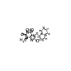 Cn1c(=O)c2c(nc(Cl)n2Cc2cccc3ccccc23)n(C)c1=O